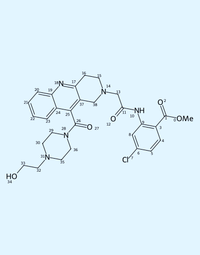 COC(=O)c1ccc(Cl)cc1NC(=O)CN1CCc2nc3ccccc3c(C(=O)N3CCN(CCO)CC3)c2C1